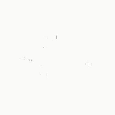 C=C(CCCCC)c1c(OC(=O)O)ccc2c1CCCC2C